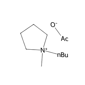 CC(=O)[O-].CCCC[N+]1(C)CCCC1